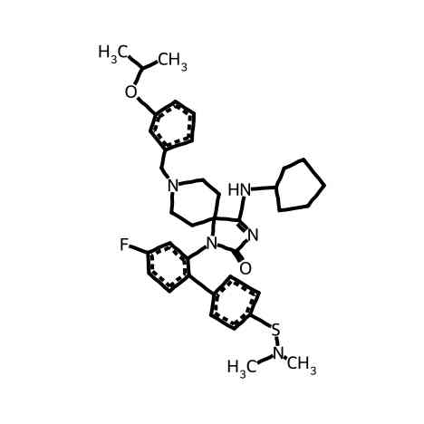 CC(C)Oc1cccc(CN2CCC3(CC2)C(NC2CCCCC2)=NC(=O)N3c2cc(F)ccc2-c2ccc(SN(C)C)cc2)c1